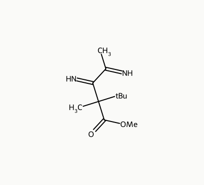 COC(=O)C(C)(C(=N)C(C)=N)C(C)(C)C